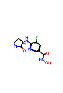 O=C(NO)c1cnc(N[C@@H]2CCNC2=O)c(F)c1